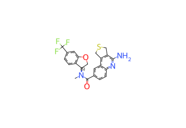 CN(C(=O)c1ccc2nc(N)c3c(c2c1)CSC3)[C@@H]1COc2cc(C(F)(F)F)ccc21